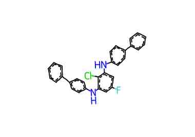 Fc1cc(Nc2ccc(-c3ccccc3)cc2)c(Cl)c(Nc2ccc(-c3ccccc3)cc2)c1